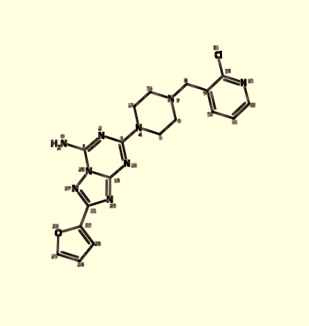 Nc1nc(N2CCN(Cc3cccnc3Cl)CC2)nc2nc(-c3ccco3)nn12